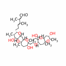 CC(=C\C=O)/C(C)=C/CC[C@@H]1O[C@@H]2C[C@@H]3O[C@](C)(C[C@H]4C[C@H](O)[C@@H]5O[C@@H]6C[C@H](O)[C@@H](C)O[C@@]6(C)CC[C@H]5O4)[C@@H](O)CC[C@@]3(C)O[C@H]2[C@@H](O)[C@@H]1C